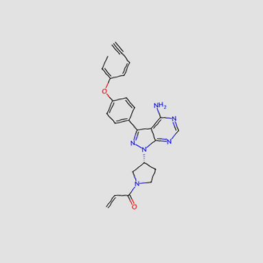 C#C/C=C\C(=C/C)Oc1ccc(-c2nn([C@@H]3CCN(C(=O)C=C)C3)c3ncnc(N)c23)cc1